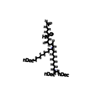 CCCCCCCCCCCCCCCCCC/C(=C\C(C)CC(C)CNC(=O)CCCN(C)C)CCCCCCC/C=C(/CCCCCCCCCC)CCCCCCCCCCC